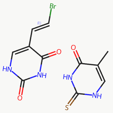 Cc1c[nH]c(=S)[nH]c1=O.O=c1[nH]cc(/C=C/Br)c(=O)[nH]1